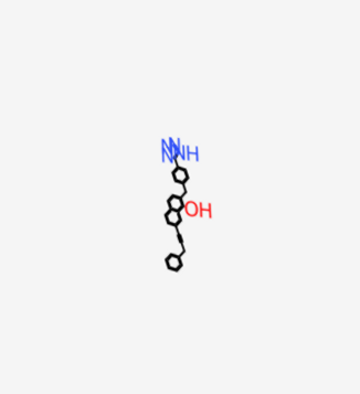 Oc1c(Cc2ccc(-c3nnn[nH]3)cc2)ccc2ccc(C#CCc3ccccc3)cc12